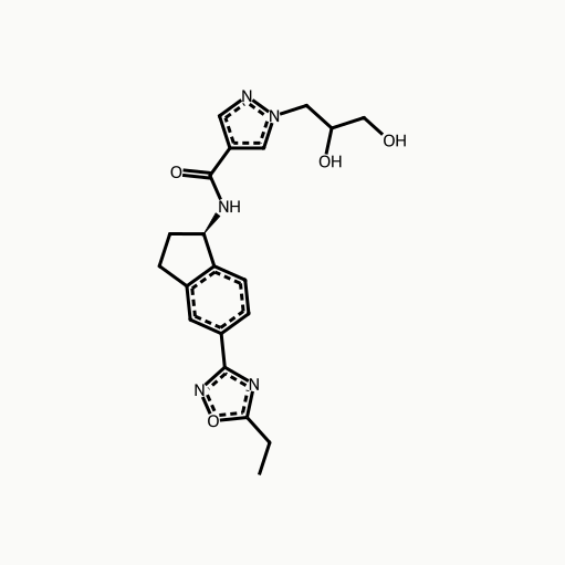 CCc1nc(-c2ccc3c(c2)CC[C@H]3NC(=O)c2cnn(CC(O)CO)c2)no1